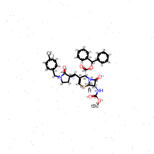 CC(C)(C)OC(=O)N[C@@H]1C(=O)N2[C@@H](C(=O)OC(c3ccccc3)c3ccccc3)C(/C=C3\CCN(Cc4ccc(C(F)(F)F)cc4)C3=O)=CS[C@H]12